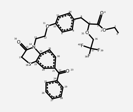 CCOC(=O)C(Cc1ccc(OCCN2C(=O)CSc3cc(C(=O)c4ccccc4)ccc32)cc1)OCC(F)(F)F